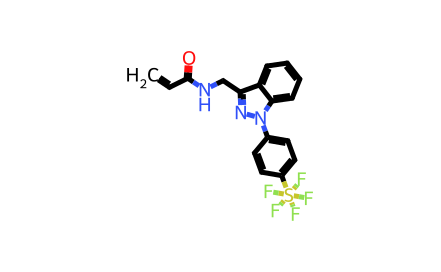 C=CC(=O)NCc1nn(-c2ccc(S(F)(F)(F)(F)F)cc2)c2ccccc12